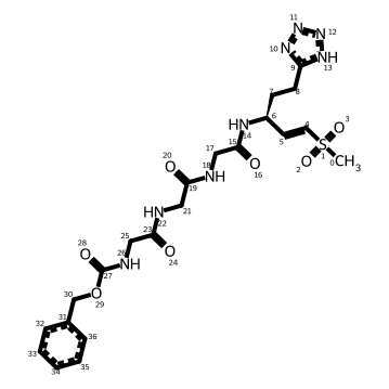 CS(=O)(=O)/C=C/[C@H](CCc1nnn[nH]1)NC(=O)CNC(=O)CNC(=O)CNC(=O)OCc1ccccc1